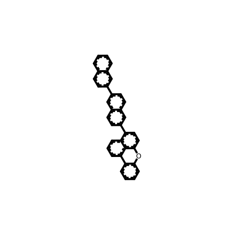 c1ccc2c(c1)Oc1ccc(-c3ccc4cc(-c5ccc6ccccc6c5)ccc4c3)c3cccc-2c13